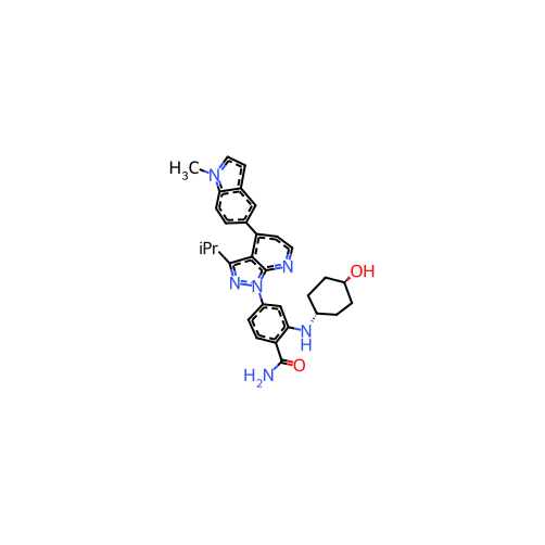 CC(C)c1nn(-c2ccc(C(N)=O)c(N[C@H]3CC[C@H](O)CC3)c2)c2nccc(-c3ccc4c(ccn4C)c3)c12